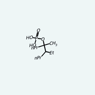 CCCC(CC)C(C)(CCC)OP(=O)(O)O